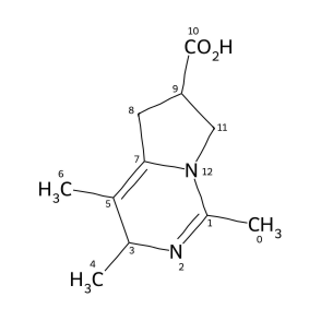 CC1=NC(C)C(C)=C2CC(C(=O)O)CN12